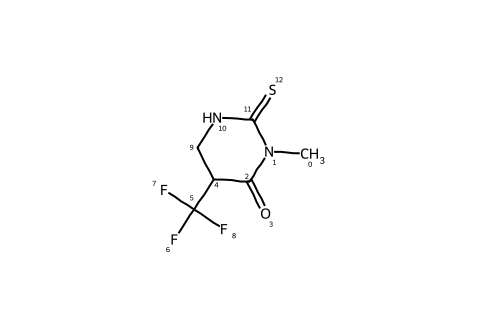 CN1C(=O)C(C(F)(F)F)CNC1=S